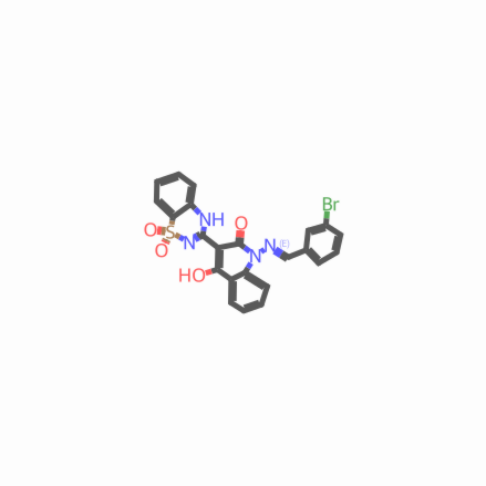 O=c1c(C2=NS(=O)(=O)c3ccccc3N2)c(O)c2ccccc2n1/N=C/c1cccc(Br)c1